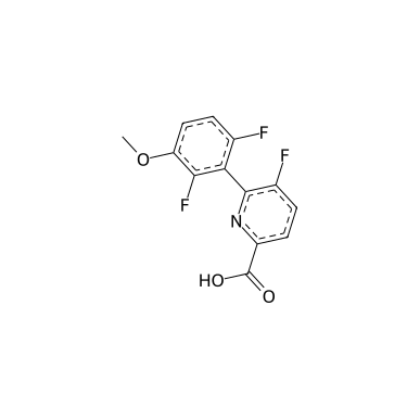 COc1ccc(F)c(-c2nc(C(=O)O)ccc2F)c1F